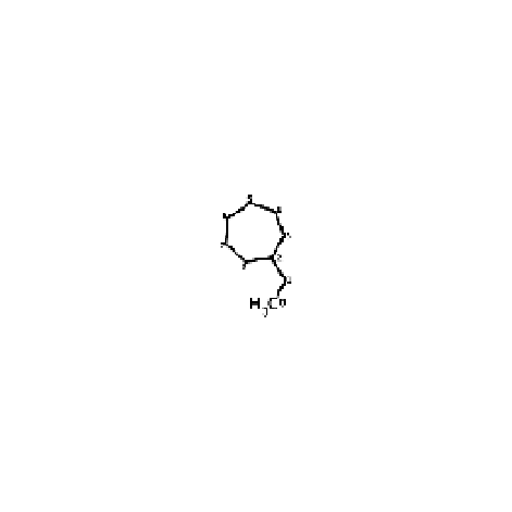 CCC1CCCCCC1